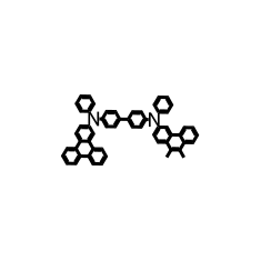 Cc1c(C)c2ccc(N(c3ccccc3)c3ccc(-c4ccc(N(c5ccccc5)c5ccc6c7ccccc7c7ccccc7c6c5)cc4)cc3)cc2c2ccccc12